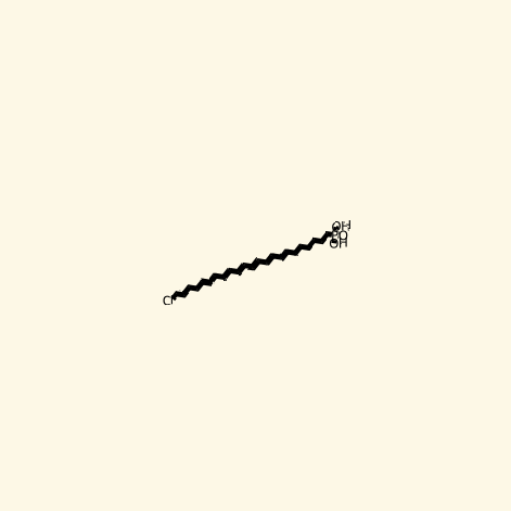 O=P(O)(O)CCCCCCCCCCCCCCCCCCCCCCCCl